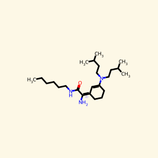 CCCCCCNC(=O)/C(N)=C1\C=C(N(CCC(C)C)CCC(C)C)CCC1